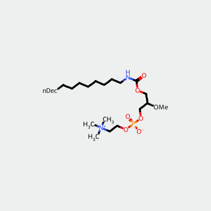 CCCCCCCCCCCCCCCCCCNC(=O)OCC(COP(=O)([O-])OCC[N+](C)(C)C)OC